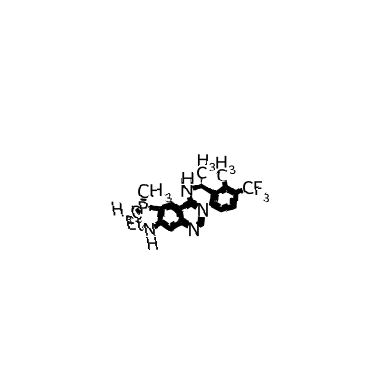 CCNc1cc2ncnc(N[C@H](C)c3cccc(C(F)(F)F)c3C)c2cc1P(C)C